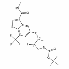 CNC(=O)c1csc2c(C(F)(F)F)cc(O[C@@H]3CN(C(=O)OC(C)(C)C)C[C@H]3F)nc12